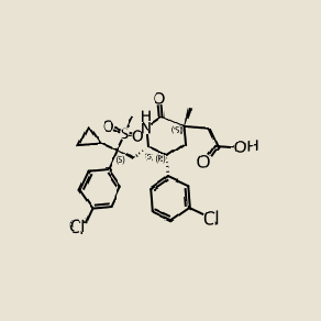 C[C@@]1(CC(=O)O)C[C@H](c2cccc(Cl)c2)[C@H](C[C@@](c2ccc(Cl)cc2)(C2CC2)S(C)(=O)=O)NC1=O